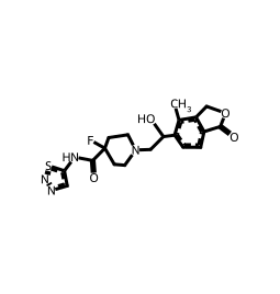 Cc1c(C(O)CN2CCC(F)(C(=O)Nc3cnns3)CC2)ccc2c1COC2=O